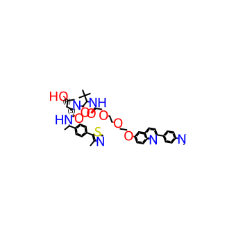 Cc1ncsc1-c1ccc(C(C)NC(=O)[C@@H]2C[C@@H](O)CN2C(=O)C(NC(=O)COCCOCCOc2ccc3nc(-c4ccc(N(C)C)cc4)ccc3c2)C(C)(C)C)cc1